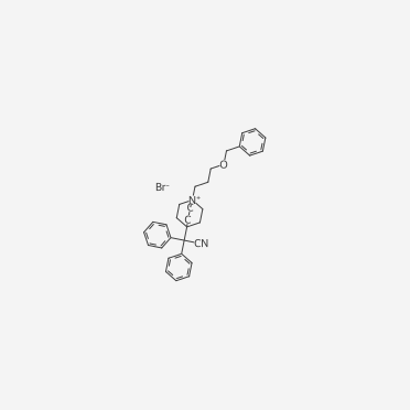 N#CC(c1ccccc1)(c1ccccc1)C12CC[N+](CCCOCc3ccccc3)(CC1)CC2.[Br-]